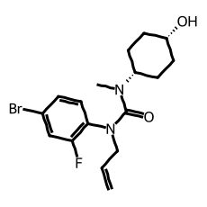 C=CCN(C(=O)N(C)[C@H]1CC[C@@H](O)CC1)c1ccc(Br)cc1F